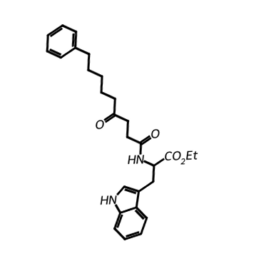 CCOC(=O)C(Cc1c[nH]c2ccccc12)NC(=O)CCC(=O)CCCCCc1ccccc1